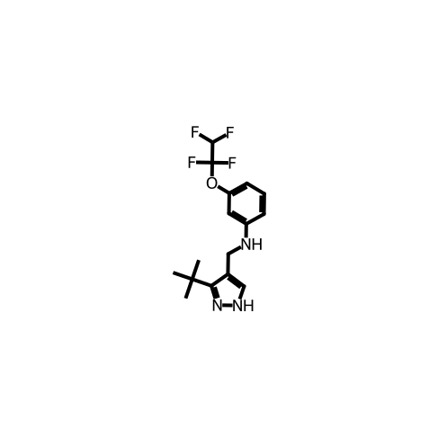 CC(C)(C)c1n[nH]cc1CNc1cccc(OC(F)(F)C(F)F)c1